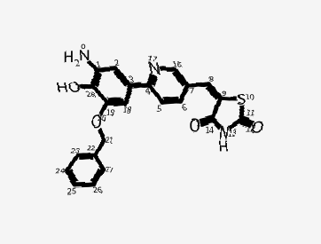 Nc1cc(-c2ccc(C=C3SC(=O)NC3=O)cn2)cc(OCc2ccccc2)c1O